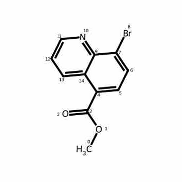 COC(=O)c1ccc(Br)c2ncccc12